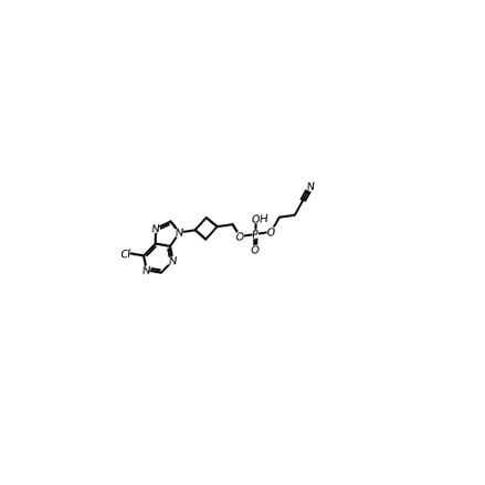 N#CCCOP(=O)(O)OCC1CC(n2cnc3c(Cl)ncnc32)C1